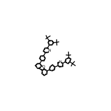 CC(C)(C)c1cc(-c2ccc(-c3ccc(-c4cccc5c4oc4c(-c6ccc(-c7ccc(-c8cc(C(C)(C)C)cc(C(C)(C)C)c8)nc7)cc6)cccc45)cc3)cn2)cc(C(C)(C)C)c1